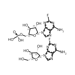 Nc1nc(F)nc2c1ncn2[C@@H]1O[C@H](CO)[C@@H](O)[C@@H]1O.Nc1nc(F)nc2c1ncn2[C@@H]1O[C@H](COP(=O)(O)O)[C@@H](O)[C@@H]1O